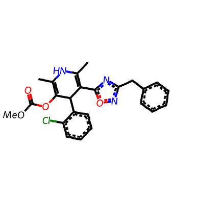 COC(=O)OC1=C(C)NC(C)=C(c2nc(Cc3ccccc3)no2)C1c1ccccc1Cl